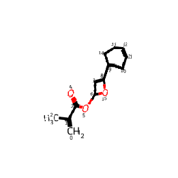 C=C(C)C(=O)OC1CC(C2CC=CCC2)O1